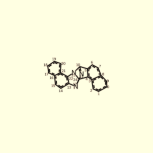 c1ccc2c3c(ccc2c1)C1=NN2c4ccc5ccccc5c4N1C32